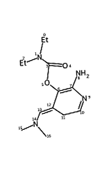 CCN(CC)C(=O)OC1=C(N)N=CCC1=CN(C)C